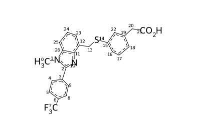 Cn1c(-c2ccc(C(F)(F)F)cc2)nc2c(CSc3cccc(CC(=O)O)c3)cccc21